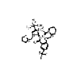 CC(C)(C)c1cn(C[C@H]2CCCO2)c(=NC(=O)c2cc(C(F)(F)F)ccc2OC[C@@H]2CCCCN2C(=O)O)s1